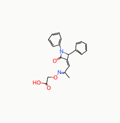 CC(C=C1C(=O)N(c2ccccc2)C1c1ccccc1)=NOCC(=O)O